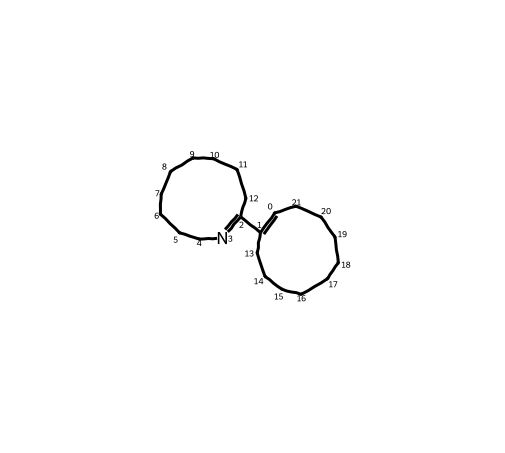 C1=C(/C2=N/CCCCCCCCC2)CCCCCCCCC/1